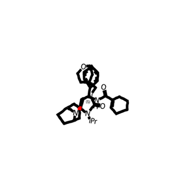 CC(C)N1C(=O)N(CC2CCOCC2)CC12CC1CCC(C2)N1CC[C@H](NC(=O)C1=CCCCC1)c1ccccc1